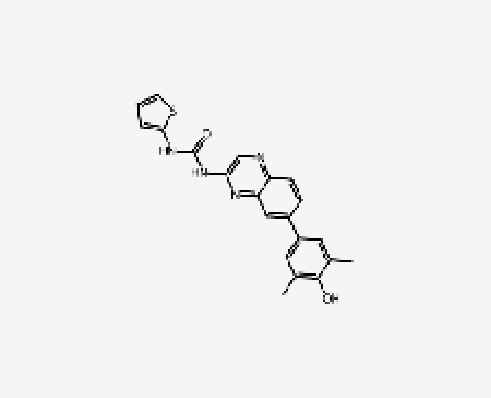 Cc1cc(-c2ccc3ncc(NC(=O)Nc4cccs4)nc3c2)cc(C)c1O